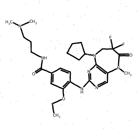 CCOc1cc(C(=O)NCCCN(C)C)ccc1Nc1ncc2c(n1)N(C1CCCC1)CC(F)(F)C(=O)N2C